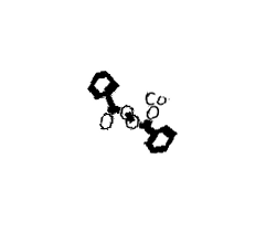 O=C(OOC(=O)c1ccccc1)c1ccccc1.[Co]